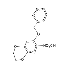 Cl.O=[N+]([O-])c1cc2c(cc1OCc1cccnc1)OCCO2